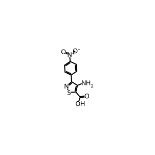 Nc1c(-c2ccc([N+](=O)[O-])cc2)nsc1C(=O)O